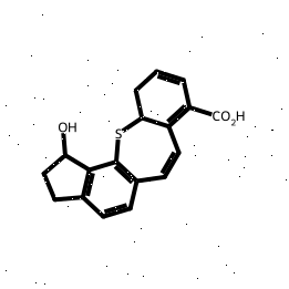 O=C(O)C1=C2C=Cc3ccc4c(c3SC2CC=C1)C(O)CC4